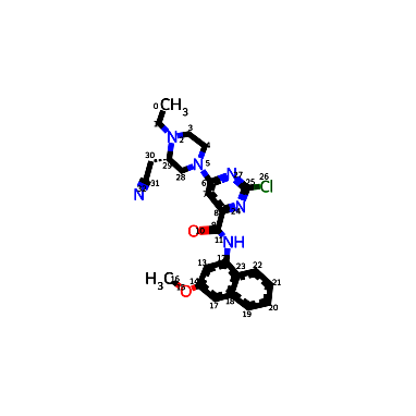 CCN1CCN(c2cc(C(=O)Nc3cc(OC)cc4ccccc34)nc(Cl)n2)C[C@@H]1CC#N